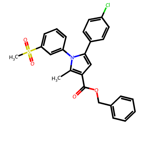 Cc1c(C(=O)OCc2ccccc2)cc(-c2ccc(Cl)cc2)n1-c1cccc(S(C)(=O)=O)c1